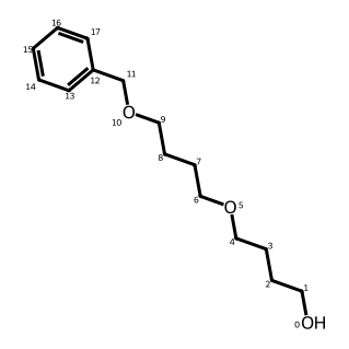 OCCCCOCCCCOCc1ccccc1